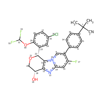 CC(C)(C#N)c1ccc(-c2cn3c4c(nc3cc2F)[C@H](O)CO[C@@H]4c2cc(Cl)ccc2OC(F)F)cc1